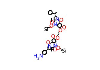 C=C(C1=CN2C(=O)c3cc(OC)c(OCCCOc4cc5c(cc4OC)C(=O)N4C=C(c6ccc(N)cc6)C[C@H]4C(=O)N5COCC[Si](C)(C)C)cc3N(COCC[Si](C)(C)C)C(=O)[C@@H]2C1)c1ccccc1